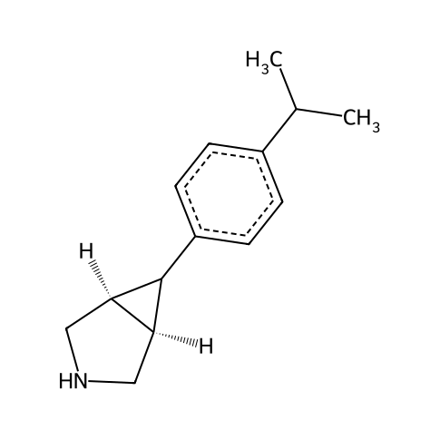 CC(C)c1ccc(C2[C@H]3CNC[C@@H]23)cc1